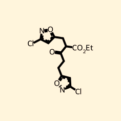 CCOC(=O)C(Cc1cc(Cl)no1)C(=O)CCc1cc(Cl)no1